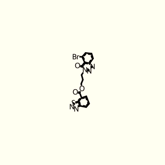 O=C(OCCCn1nnc2cccc(Br)c2c1=O)c1cccc2nnsc12